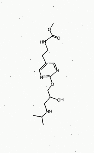 COC(=O)NCCc1cnc(OCC(O)CNC(C)C)nc1